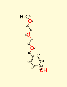 COCCOCCOCc1ccc(O)cc1